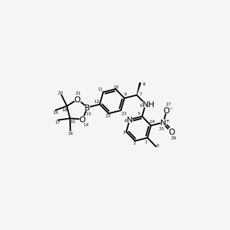 Cc1ccnc(N[C@H](C)c2ccc(B3OC(C)(C)C(C)(C)O3)cc2)c1[N+](=O)[O-]